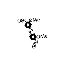 COc1cc(SSc2ccc(N=C=O)c(OC)c2)ccc1N=C=O